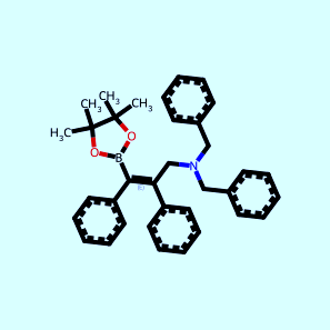 CC1(C)OB(/C(=C(\CN(Cc2ccccc2)Cc2ccccc2)c2ccccc2)c2ccccc2)OC1(C)C